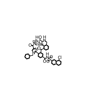 CCCCN(CCCC)C(=O)c1cn(Cc2ccccc2)c(-c2ccc(C(=O)NS(=O)(=O)c3ccc4cccc(Cl)c4c3)cc2C(=O)c2cccc3c2CC(CO)NC3)n1